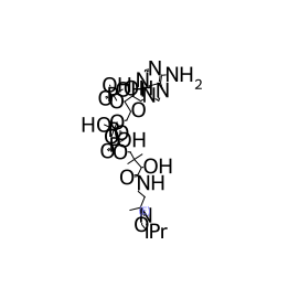 C/C(CCNC(=O)C(O)C(C)(C)COP(=O)(O)OP(=O)(O)OCC1OC(n2cnc3c(N)ncnc32)C(O)C1OP(=O)(O)O)=N\OC(C)C